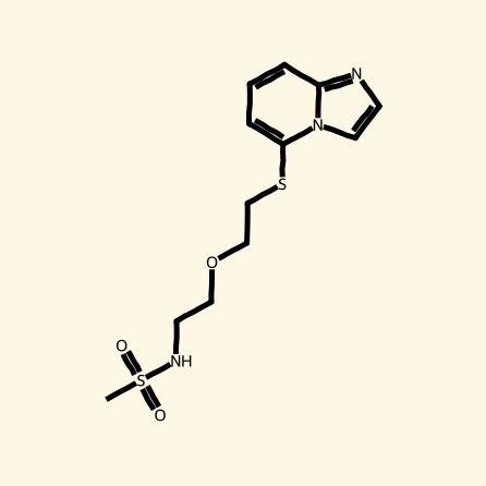 CS(=O)(=O)NCCOCCSc1cccc2nccn12